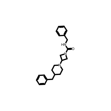 O=C(NCc1ccccc1)N1CC(N2CCC(Cc3ccccc3)CC2)C1